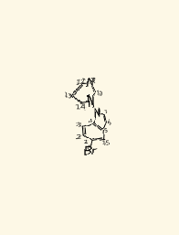 Brc1ccc2c(ccn2N2C=NC=CC2)c1